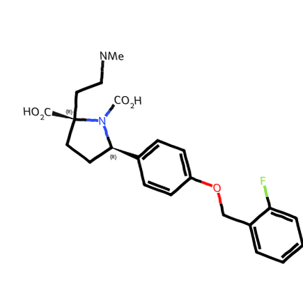 CNCC[C@@]1(C(=O)O)CC[C@H](c2ccc(OCc3ccccc3F)cc2)N1C(=O)O